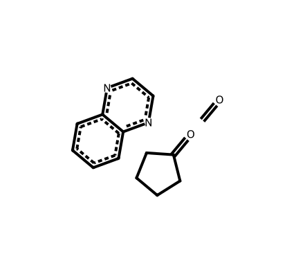 C=O.O=C1CCCC1.c1ccc2nccnc2c1